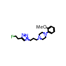 COc1ccccc1N1CCN(CCCn2cc(CCF)nn2)CC1